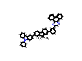 CC1(C)c2cc(-c3cccc(-c4cnc5c6ccccc6c6ccccc6c5n4)c3)ccc2-c2ccc(-c3ccc4c(c3)c3ccccc3n4-c3ccccc3)cc21